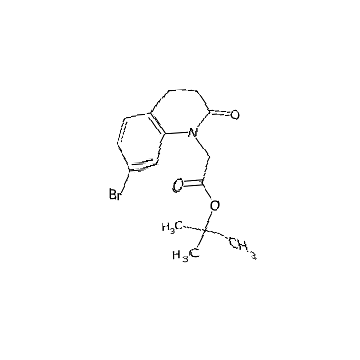 CC(C)(C)OC(=O)CN1C(=O)CCc2ccc(Br)cc21